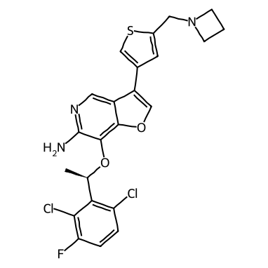 C[C@@H](Oc1c(N)ncc2c(-c3csc(CN4CCC4)c3)coc12)c1c(Cl)ccc(F)c1Cl